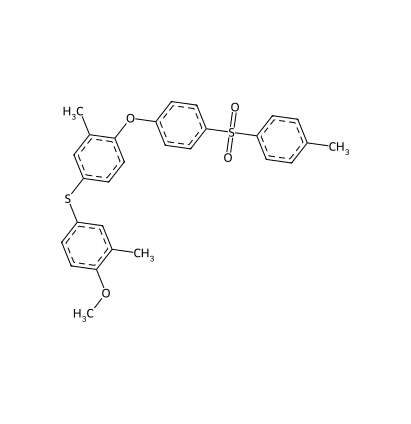 COc1ccc(Sc2ccc(Oc3ccc(S(=O)(=O)c4ccc(C)cc4)cc3)c(C)c2)cc1C